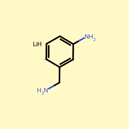 NCc1[c]ccc(N)c1.[LiH]